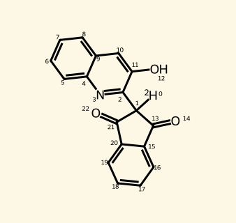 [2H]C1(c2nc3ccccc3cc2O)C(=O)c2ccccc2C1=O